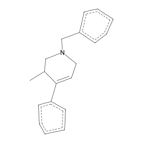 CC1CN(Cc2ccccc2)CC=C1c1ccccc1